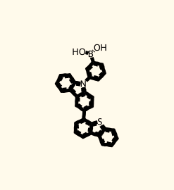 OB(O)c1cccc(-n2c3ccccc3c3cc(-c4cccc5c4sc4ccccc45)ccc32)c1